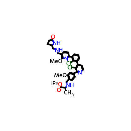 COc1cc(-c2nccc(-c3cccc(-c4ccc(CNCC5CCC(=O)N5)c(OC)n4)c3Cl)c2Cl)ccc1CNC(C)C(=O)OC(C)C